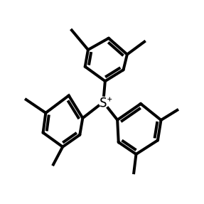 Cc1cc(C)cc([S+](c2cc(C)cc(C)c2)c2cc(C)cc(C)c2)c1